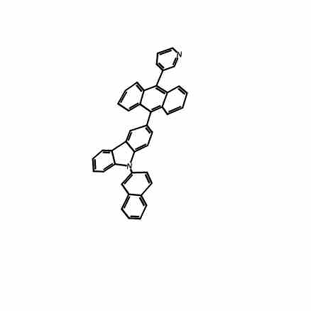 c1cncc(-c2c3ccccc3c(-c3ccc4c(c3)c3ccccc3n4-c3ccc4ccccc4c3)c3ccccc23)c1